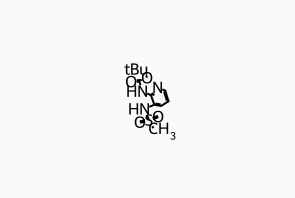 CC(C)(C)OC(=O)Nc1ncccc1NS(C)(=O)=O